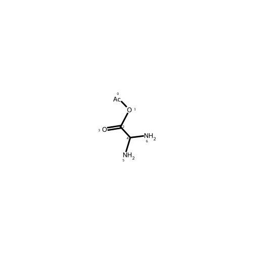 CC(=O)OC(=O)C(N)N